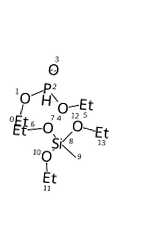 CCO[PH](=O)OCC.CCO[Si](C)(OCC)OCC